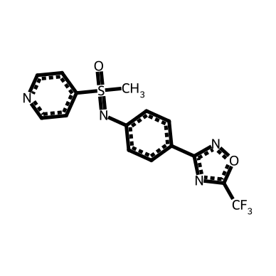 CS(=O)(=Nc1ccc(-c2noc(C(F)(F)F)n2)cc1)c1ccncc1